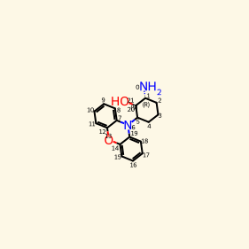 N[C@@H]1CCCC(N2c3ccccc3Oc3ccccc32)[C@H]1O